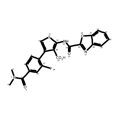 CN(C)C(=O)c1ccc(-c2csc(NC(=O)c3nc4ccccc4o3)c2C(=O)O)c(F)c1